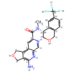 CN(C(=O)c1cc2c3c(c(N)nc2cn1)COC3)[C@H]1COCc2ccc(C(F)(F)F)cc21